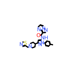 Cc1ccc(-n2nc(C3CCN(Cc4cncs4)CC3)cc2NC(=O)c2cnn3cccnc23)cc1